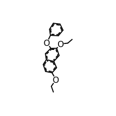 CCOc1ccc2cc(Oc3ccccc3)c(OCC)cc2c1